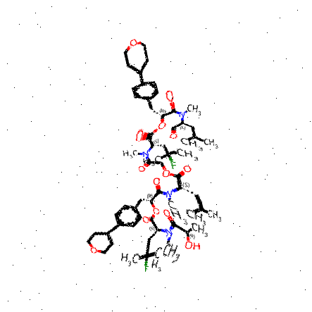 CC(C)C[C@@H](C=O)N(C)C(=O)[C@@H](Cc1ccc(C2CCOCC2)cc1)OC(=O)[C@H](CC(C)(C)F)N(C)C(=O)COC(=O)[C@H](CC(C)C)N(C)C(=O)[C@@H](Cc1ccc(C2CCOCC2)cc1)OC(=O)[C@H](CC(C)(C)F)N(C)C(=O)[C@@H](C)O